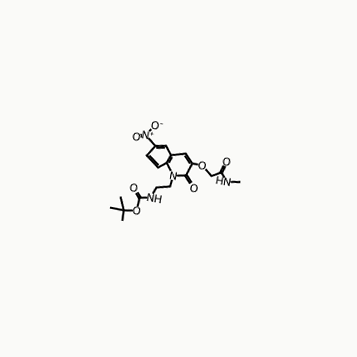 CNC(=O)COc1cc2cc([N+](=O)[O-])ccc2n(CCNC(=O)OC(C)(C)C)c1=O